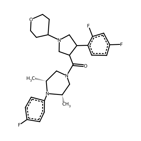 C[C@@H]1CN(C(=O)C2CN(C3CCOCC3)CC2c2ccc(F)cc2F)C[C@H](C)N1c1ccc(F)cc1